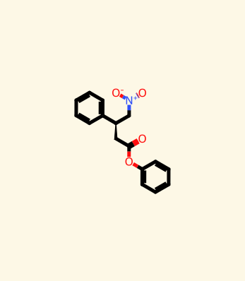 O=C(C[C@H](C[N+](=O)[O-])c1ccccc1)Oc1ccccc1